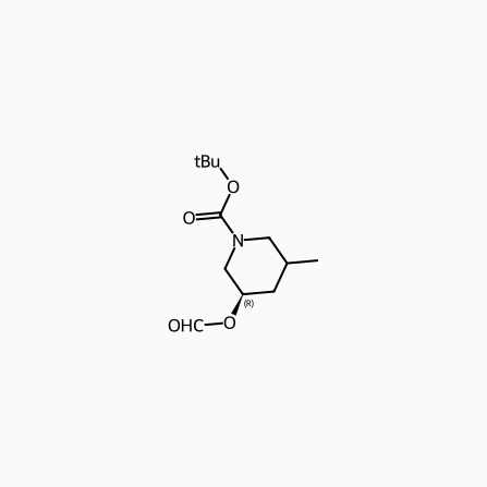 CC1C[C@@H](OC=O)CN(C(=O)OC(C)(C)C)C1